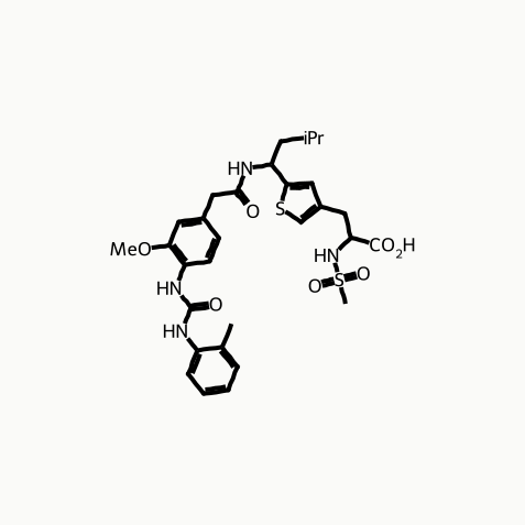 COc1cc(CC(=O)NC(CC(C)C)c2cc(CC(NS(C)(=O)=O)C(=O)O)cs2)ccc1NC(=O)Nc1ccccc1C